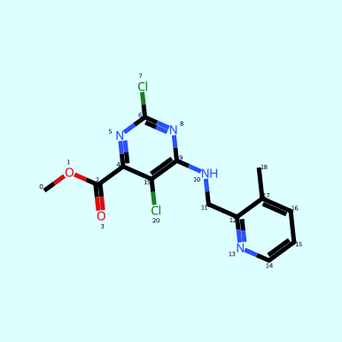 COC(=O)c1nc(Cl)nc(NCc2ncccc2C)c1Cl